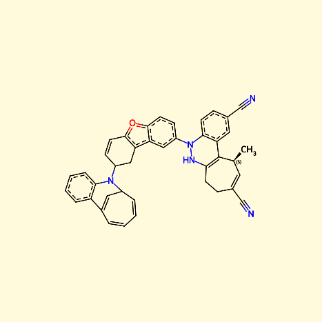 C[C@H]1C=C(C#N)CCC2=C1c1cc(C#N)ccc1N(c1ccc3oc4c(c3c1)CC(N1c3ccccc3C3=CC1C=CC=C3)C=C4)N2